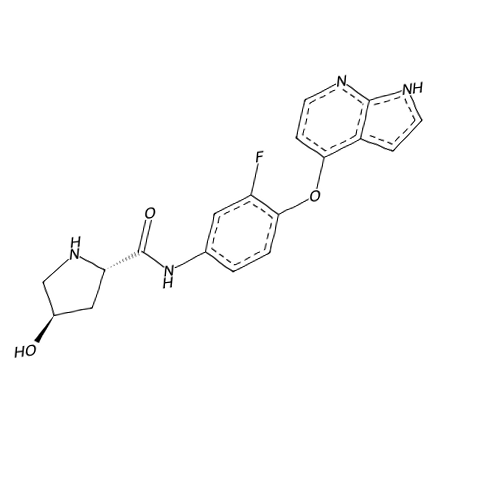 O=C(Nc1ccc(Oc2ccnc3[nH]ccc23)c(F)c1)[C@@H]1C[C@@H](O)CN1